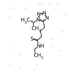 CCNC(=S)CCCc1nnnn1C(C)C